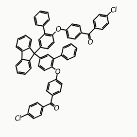 O=C(c1ccc(Cl)cc1)c1ccc(Oc2ccc(C3(c4ccc(Oc5ccc(C(=O)c6ccc(Cl)cc6)cc5)c(-c5ccccc5)c4)c4ccccc4-c4ccccc43)cc2-c2ccccc2)cc1